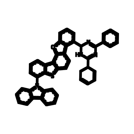 C1=CCC(C2=NC(c3ccccc3)=NC(c3cccc4oc5c(ccc6sc7c(-n8c9ccccc9c9ccccc98)cccc7c65)c34)N2)C=C1